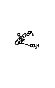 CC(C)N(Cc1ccccc1OCCCCCC(=O)O)C(=O)c1ccc(OC(F)(F)F)cc1